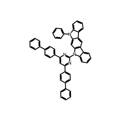 c1ccc(-c2ccc(-c3cc(-c4ccc(-c5ccccc5)cc4)nc(-n4c5ccccc5c5cc6c7ccccc7n(-c7ccccc7)c6cc54)n3)cc2)cc1